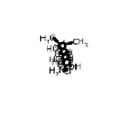 CC#Cc1cc(C#CC)c2c(c1O)C(=O)C1=C(O)[C@]3(O)C(=O)C(C(N)=O)C(O)C[C@@H]3C[C@@H]1C2